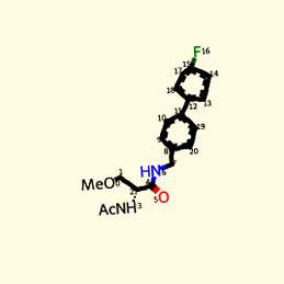 COC[C@@H](NC(C)=O)C(=O)NCc1ccc(-c2ccc(F)cc2)cc1